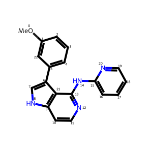 COc1cccc(-c2c[nH]c3ccnc(Nc4ccccn4)c23)c1